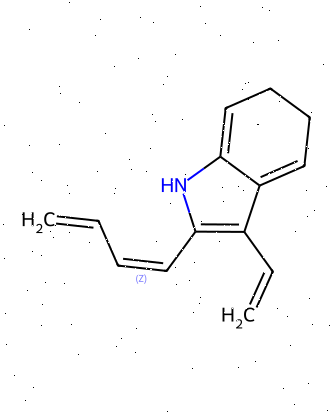 C=C/C=C\c1[nH]c2c(c1C=C)=CCCC=2